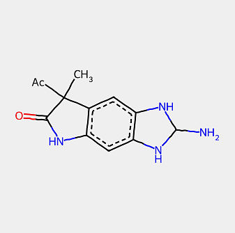 CC(=O)C1(C)C(=O)Nc2cc3c(cc21)NC(N)N3